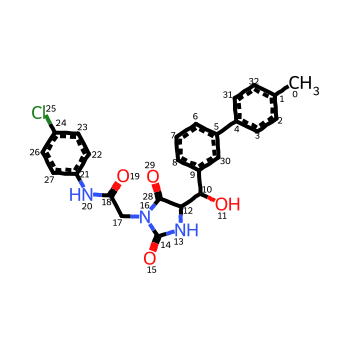 Cc1ccc(-c2cccc(C(O)C3NC(=O)N(CC(=O)Nc4ccc(Cl)cc4)C3=O)c2)cc1